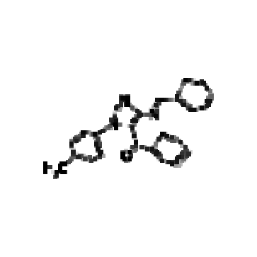 Cc1ccc(-n2cnc(/N=C/c3ccccc3)c2C(=O)c2cc#ccc2)cc1